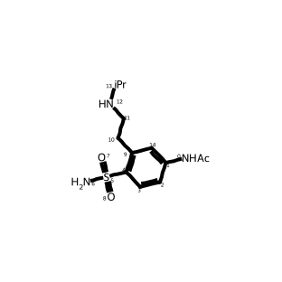 CC(=O)Nc1ccc(S(N)(=O)=O)c(CCNC(C)C)c1